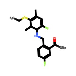 COC(=O)c1cc(F)ccc1CNC1C(F)=CC(C)=C(SCC(F)(F)F)C1C